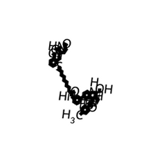 Cc1ccc(S(=O)(=O)N2CC[C@@H]3[C@H](CO)Nc4ccc(-c5cc(NC(=O)CCCCCCCCCSc6cccc7c6CN(C6CCC(=O)NC6=O)C7=O)ccc5F)cc4[C@@H]32)cc1